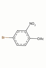 CC(=O)Oc1ccc(Br)cc1[N+](=O)[O-]